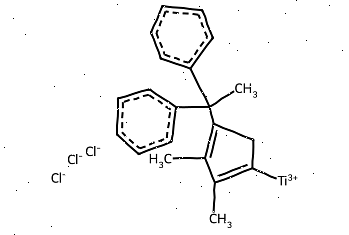 CC1=[C]([Ti+3])CC(C(C)(c2ccccc2)c2ccccc2)=C1C.[Cl-].[Cl-].[Cl-]